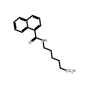 O=C(O)CCCCCNC(=O)c1cccc2ccccc12